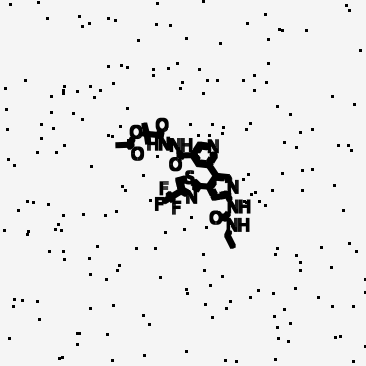 CCNC(=O)Nc1cc(-c2nc(C(F)(F)F)cs2)c(-c2cncc(C(=O)NNC(=O)C(C)(C)OC(C)=O)c2)cn1